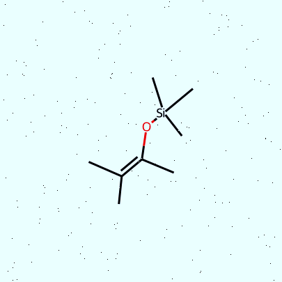 CC(C)=C(C)O[Si](C)(C)C